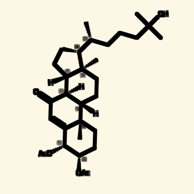 CC(=O)O[C@H]1CC[C@@]2(C)C(=CC(=O)[C@H]3[C@@H]4CC[C@H]([C@H](C)CCCC(C)(C)O)[C@@]4(C)CC[C@@H]32)[C@H]1OC(C)=O